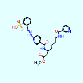 COC(=O)CC(CCCCNC(=O)c1cccnc1)NC(=O)c1ccc(NN=Cc2ccccc2S(=O)(=O)O)nc1